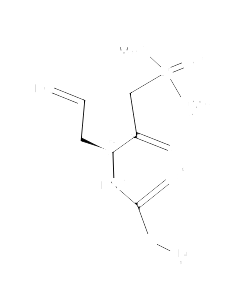 C=CC[C@H](NC(=O)OC(C)(C)C)C(=O)CP(=O)(OC)OC